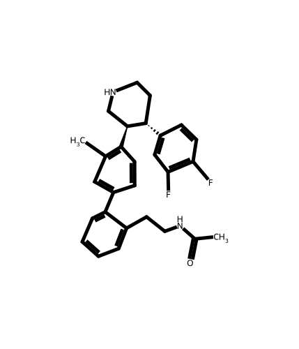 CC(=O)NCCc1ccccc1-c1ccc([C@H]2CNCC[C@@H]2c2ccc(F)c(F)c2)c(C)c1